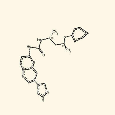 C[C@H](C[C@H](C)Oc1ccccc1)NC(=O)Nc1ccc2ncc(-c3cn[nH]c3)cc2n1